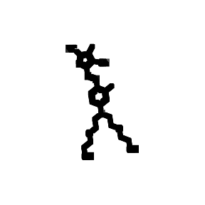 Cc1cc(N(CCOCCO)CCOCCO)ccc1/N=N/c1sc(C#N)c(C)c1C#N